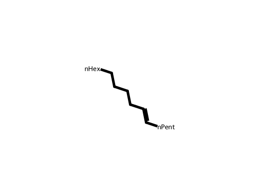 [CH2]CCCC/C=C/CCCCCCCCCC